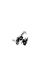 CCOc1cc(N2Cc3c(cccc3C(F)(F)F)C2=O)cc(C2(Cc3nncn3C)COC2)c1